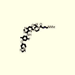 CNC/C=C/C(=O)N1CCN2C[C@H]1COc1cc3ncnc(Nc4cc(C)c(Oc5ccn6ncnc6c5)cc4F)c3nc12